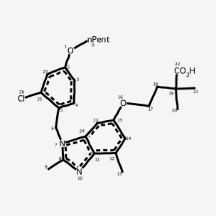 CCCCCOc1ccc(Cn2c(C)nc3c(C)cc(OCCC(C)(C)C(=O)O)cc32)c(Cl)c1